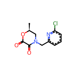 C[C@H]1CN(Cc2cccc(Cl)n2)C(=O)C(=O)O1